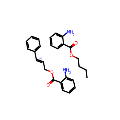 CCCCOC(=O)c1ccccc1N.Nc1ccccc1C(=O)OC/C=C/c1ccccc1